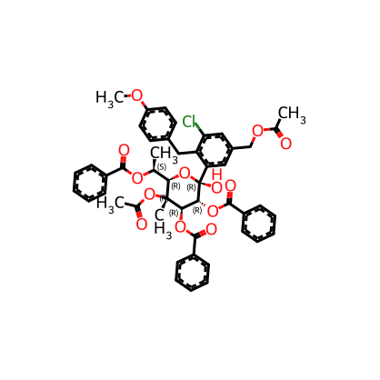 COc1ccc(Cc2c(Cl)cc(COC(C)=O)cc2[C@@]2(O)O[C@H]([C@H](C)OC(=O)c3ccccc3)[C@@](C)(OC(C)=O)[C@H](OC(=O)c3ccccc3)[C@H]2OC(=O)c2ccccc2)cc1